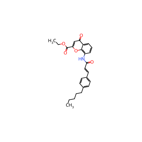 CCCCCc1ccc(/C=C/C(=O)Nc2cccc3c(=O)cc(C(=O)OCC)oc23)cc1